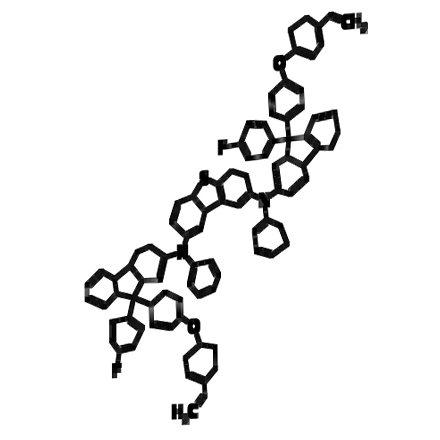 C=CC1=CC=C(Oc2ccc(C3(c4ccc(F)cc4)C4=C(CCC=C4)C4C=CC(N(C5=CC=CCC5)C5=CC6=C(CC5)SC5C=CC(N(C7=CC8C(CC7)C7C=CC=CC7C8(c7ccc(F)cc7)C7C=CC(OC8CC=C(C=C)CC8)=CC7)c7ccccc7)=CC65)=CC43)cc2)CC1